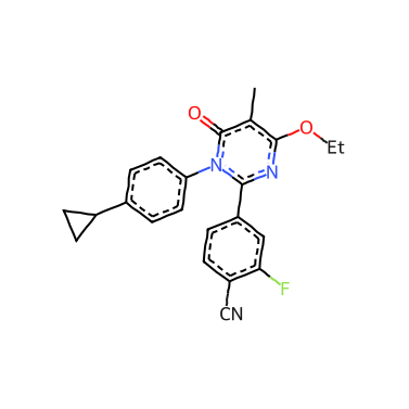 CCOc1nc(-c2ccc(C#N)c(F)c2)n(-c2ccc(C3CC3)cc2)c(=O)c1C